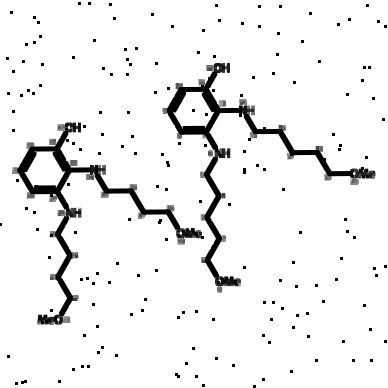 COCCCCCNc1cccc(O)c1NCCCCCOC.COCCCCNc1cccc(O)c1NCCCCOC